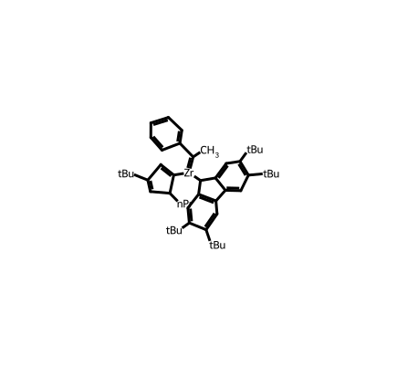 CCCC1C=C(C(C)(C)C)C=[C]1[Zr](=[C](C)c1ccccc1)[CH]1c2cc(C(C)(C)C)c(C(C)(C)C)cc2-c2cc(C(C)(C)C)c(C(C)(C)C)cc21